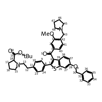 COc1cc(C(=O)c2c(-c3ccc(CCN4CCCC4C(=O)OC(C)(C)C)cc3)sc3cc(OCc4ccccc4)ccc23)ccc1CN1CCCC1